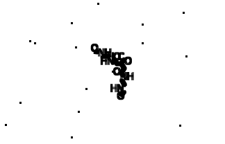 CC(=O)C(CC(=O)NCCNC=O)CC(=O)NCCNC=O